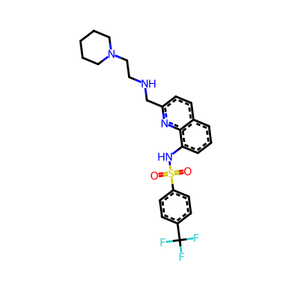 O=S(=O)(Nc1cccc2ccc(CNCCN3CCCCC3)nc12)c1ccc(C(F)(F)F)cc1